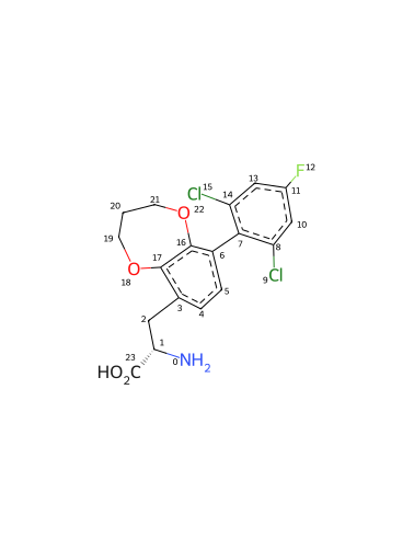 N[C@@H](Cc1ccc(-c2c(Cl)cc(F)cc2Cl)c2c1OCCCO2)C(=O)O